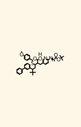 COc1ccc(CSC(CC(c2cccc(-c3ccccc3)c2)C(C)(C)C)C(Cc2ccc(N=NC(=O)OC(C)(C)C)nc2)C(=O)O)cc1